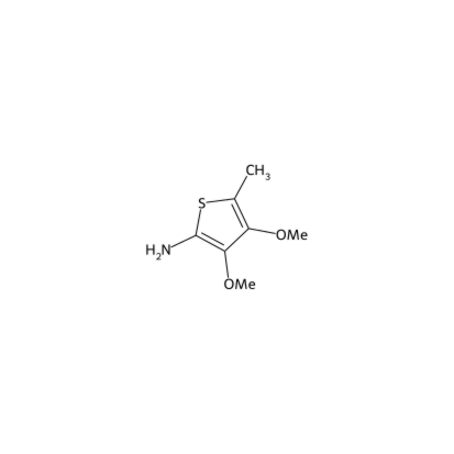 COc1c(C)sc(N)c1OC